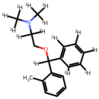 [2H]c1c([2H])c([2H])c(C([2H])(OCC([2H])([2H])N(C([2H])([2H])[2H])C([2H])([2H])[2H])c2ccccc2C)c([2H])c1[2H]